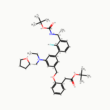 CCN(C[C@@H]1CCCO1)c1cc(COc2ccccc2CC(=O)OC(C)(C)C)cc(-c2cccc([C@@H](C)NC(=O)OC(C)(C)C)c2F)c1